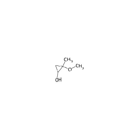 COC1(C)CC1O